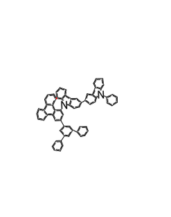 c1ccc(-c2cc(-c3ccccc3)cc(-c3cc(-n4c5ccccc5c5cc(-c6ccc7c(c6)c6ccccc6n7-c6ccccc6)ccc54)c4c5ccccc5c5ccccc5c4c3)c2)cc1